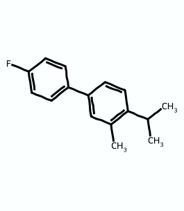 Cc1cc(-c2ccc(F)cc2)ccc1C(C)C